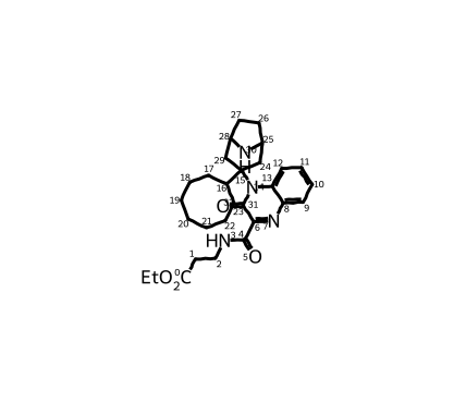 CCOC(=O)CCNC(=O)c1nc2ccccc2n(C2(C3CCCCCCC3)CC3CCC(C2)N3)c1=O